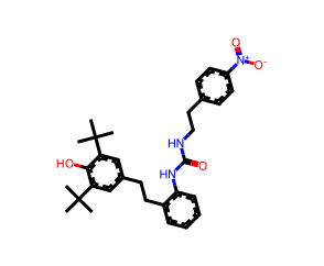 CC(C)(C)c1cc(CCc2ccccc2NC(=O)NCCc2ccc([N+](=O)[O-])cc2)cc(C(C)(C)C)c1O